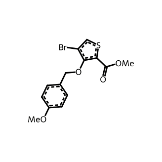 COC(=O)c1scc(Br)c1OCc1ccc(OC)cc1